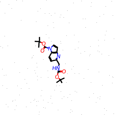 CC(C)(C)OC(=O)NCc1ccc2c(ccn2C(=O)OC(C)(C)C)n1